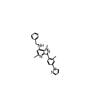 Cc1cc(NCc2ccccc2)c2c(n1)c(-c1ccc(-n3cccn3)cc1C)nn2C